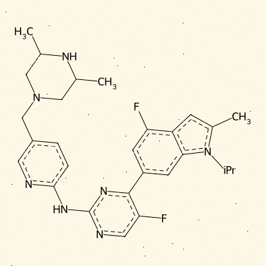 Cc1cc2c(F)cc(-c3nc(Nc4ccc(CN5CC(C)NC(C)C5)cn4)ncc3F)cc2n1C(C)C